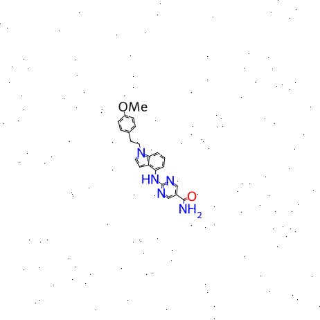 COc1ccc(CCn2ccc3c(Nc4ncc(C(N)=O)cn4)cccc32)cc1